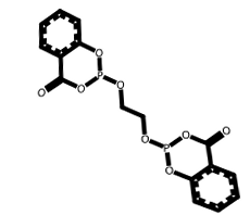 O=C1OP(OCCOP2OC(=O)c3ccccc3O2)Oc2ccccc21